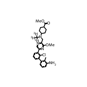 [2H]C([2H])([2H])N(Cc1ncc(-c2cccc(-c3cccc(N)c3C)c2Cl)nc1OC)C1CCC(C(=O)OC)CC1